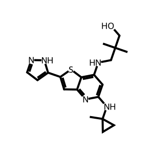 CC(C)(CO)CNc1cc(NC2(C)CC2)nc2cc(-c3ccn[nH]3)sc12